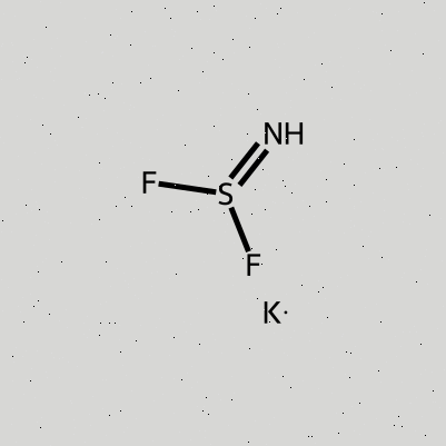 N=S(F)F.[K]